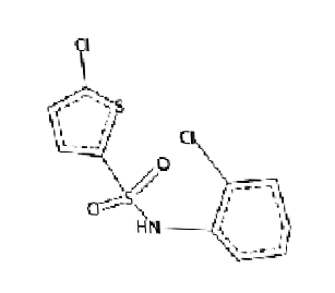 O=S(=O)(Nc1ccccc1Cl)c1ccc(Cl)s1